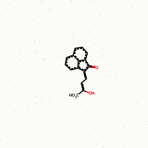 O=C(O)C(O)=CC=c1c(=O)c2cccc3cccc1c32